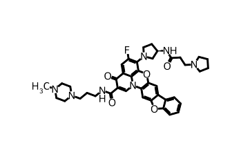 CN1CCN(CCCNC(=O)c2cn3c4c(c(N5CC[C@@H](NC(=O)CCN6CCCC6)C5)c(F)cc4c2=O)Oc2cc4c(cc2-3)oc2ccccc24)CC1